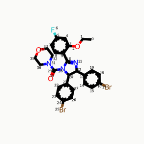 CCOc1cc(F)ccc1C1=NC(c2ccc(Br)cc2)C(c2ccc(Br)cc2)N1C(=O)N1CCOCC1